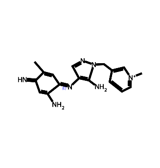 CC1=C/C(=N\c2cnn(Cc3ccc[n+](C)c3)c2N)C(N)=CC1=N